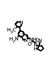 Cc1ccncc1-c1cc(N)c2cnc(NC(=O)C(=O)NC3(C#N)CCCC3)cc2c1